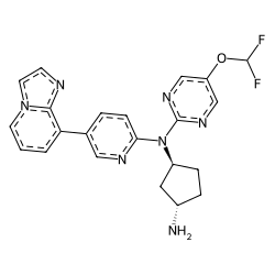 N[C@H]1CC[C@H](N(c2ccc(-c3cccn4ccnc34)cn2)c2ncc(OC(F)F)cn2)C1